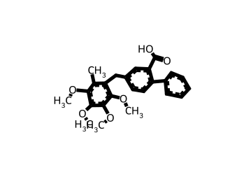 COc1c(C)c(Cc2ccc(-c3ccccc3)c(C(=O)O)c2)c(OC)c(OC)c1OC